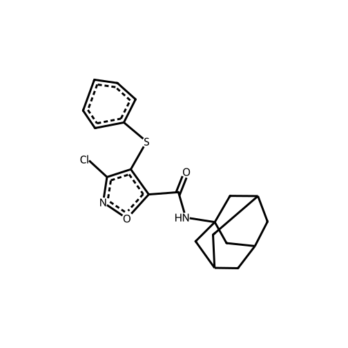 O=C(NC12CC3CC(CC(C3)C1)C2)c1onc(Cl)c1Sc1ccccc1